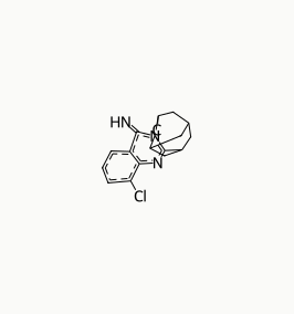 N=c1c2cccc(Cl)c2nc2n1C1CC3CC(CC2C3)C1